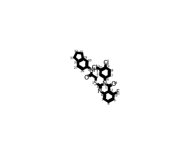 O=C(CSc1nc2cccc(F)c2c(=O)n1-c1ccc(Cl)c(Cl)c1)Nc1ccc2c(c1)CCC2